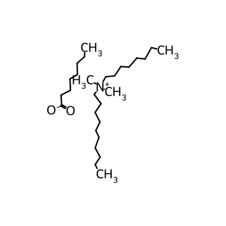 CCCCCCCC(=O)[O-].CCCCCCCCCC[N+](C)(C)CCCCCCCC